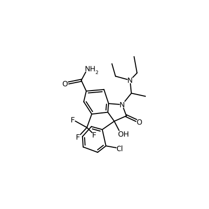 CCN(CC)C(C)N1C(=O)C(O)(c2ccccc2Cl)c2c1cc(C(N)=O)cc2C(F)(F)F